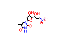 Cc1cn([C@H]2C[C@H](O)[C@@H](C(O)CC[N+](=O)[O-])O2)c(=O)[nH]c1=O